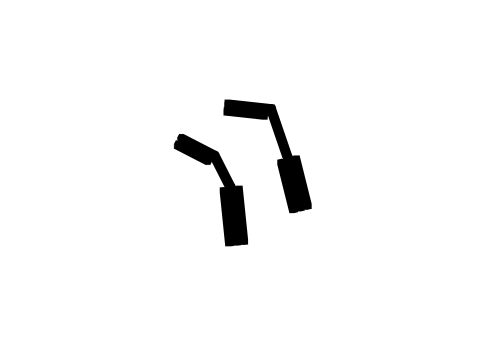 C#CC=C.C#CC=C